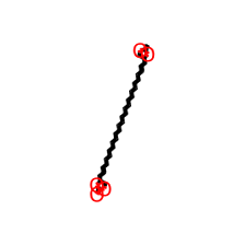 C=C1OCC(C/C=C/CCCCCCCCCCCCCCCCCCCCCC/C=C/CC2COC(=O)O2)O1